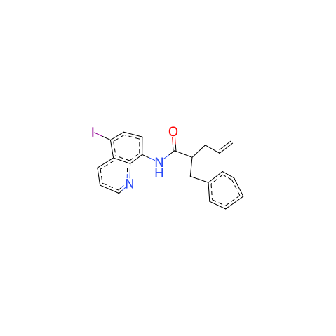 C=CCC(Cc1ccccc1)C(=O)Nc1ccc(I)c2cccnc12